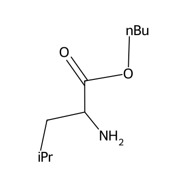 CCCCOC(=O)C(N)CC(C)C